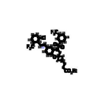 CCOC(=O)CCN1CC2(C1)CN(S(=O)(=O)c1cccc(C(F)(F)F)c1)c1cc(/C=C/c3c(Cl)cccc3C(F)(F)F)ccc1O2